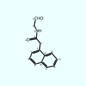 O=[C]CNC(=O)Cc1cccc2ccccc12